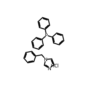 Cl.c1ccc(Cn2ccnc2)cc1.c1ccc(P(c2ccccc2)c2ccccc2)cc1